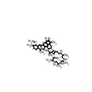 C=C(CN)NCC(=C)NCC(=C)NCC(=C)NCCC1CC(C(=C)N[C@H]2CCc3c(C)c(P)cc4nc5c(c2c34)CN2C(=C)C3=C(C=C52)[C@@H](CC)C(=C)CC3)C1